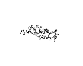 CC(C)(C)C1[C@@H](OC(N)=O)[C@H](F)CCN1c1nc2c(F)cc(F)cc2[nH]1